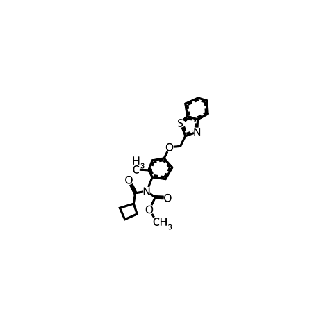 COC(=O)N(C(=O)C1CCC1)c1ccc(OCc2nc3ccccc3s2)cc1C